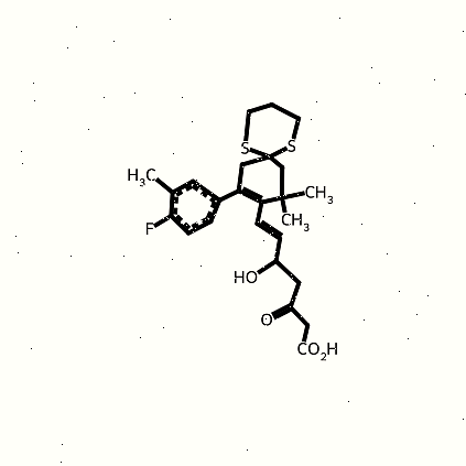 Cc1cc(C2=C(C=CC(O)CC(=O)CC(=O)O)C(C)(C)CC3(C2)SCCCS3)ccc1F